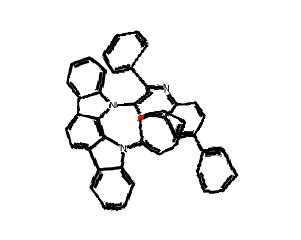 c1ccc(-c2ccc3nc(-c4ccccc4)c(-n4c5ccccc5c5ccc6c7ccccc7n(-c7ccccc7)c6c54)nc3c2)cc1